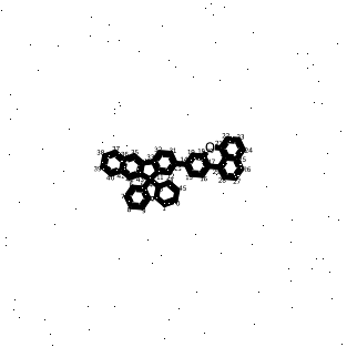 C1=CCC(C2(c3ccccc3)c3cc(-c4ccc5c(c4)Oc4cccc6cccc-5c46)ccc3-c3cc4ccccc4cc32)C=C1